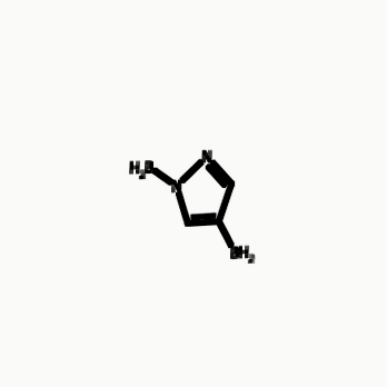 Bc1cnn(B)c1